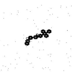 c1ccc(-c2c3ccccc3c(-c3ccc4c(c3)oc3cc(-c5ccc6oc7cc8ccccc8cc7c6c5)ccc34)c3ccccc23)cc1